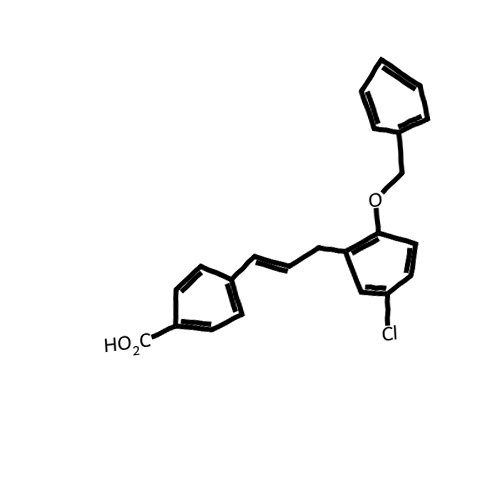 O=C(O)c1ccc(/C=C/Cc2cc(Cl)ccc2OCc2ccccc2)cc1